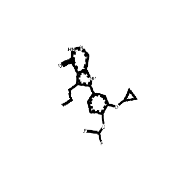 CCCc1c(-c2ccc(OC(F)F)c(OC3CC3)c2)[nH]c2cn[nH]c(=O)c12